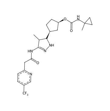 CC1C(NC(=O)Cc2ccc(C(F)(F)F)cn2)=NNC1[C@H]1CC[C@@H](OC(=O)NC2(C)CC2)C1